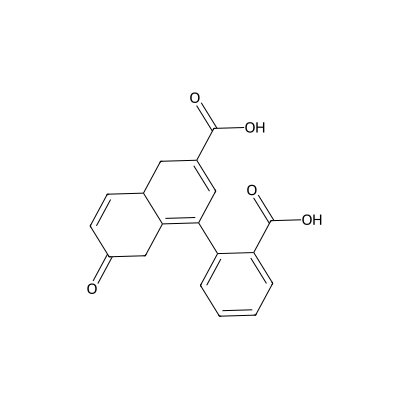 O=C1C=CC2CC(C(=O)O)=CC(c3ccccc3C(=O)O)=C2C1